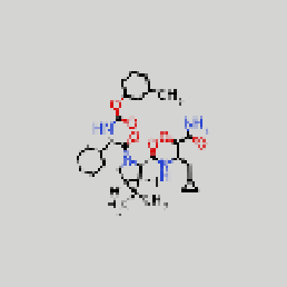 CC1CCCC(OC(=O)N[C@H](C(=O)N2C[C@H]3[C@@H]([C@H]2C(=O)NC(CC2CC2)C(=O)C(N)=O)C3(C)C)C2CCCCC2)C1